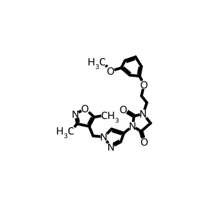 COc1cccc(OCCN2CC(=O)N(c3cnn(Cc4c(C)noc4C)c3)C2=O)c1